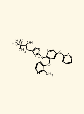 Cc1ncccc1Oc1cc(Sc2ccccn2)cnc1Nc1nc(CC(O)C(C)(C)O)cs1